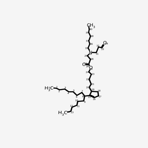 CCCCCCCCC(CCCCCC)C1=CCCC1CCCCCOC(=O)CCN(CCC=O)CCCCCCC